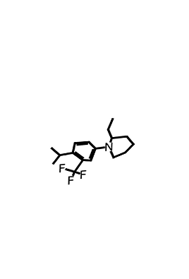 CCC1CCCCN1c1ccc(C(C)C)c(C(F)(F)F)c1